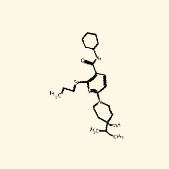 [2H]C1(C(C)C)CCN(c2ccc(C(=O)NC3CCCCC3)c(SCCC)n2)CC1